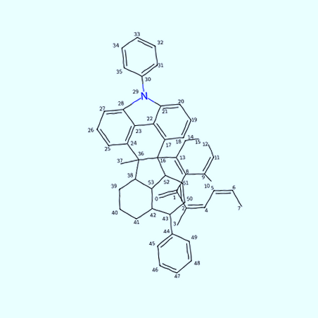 C=C(/C(C)=C\C=C/C)C(/C(C)=C\C)=C(/CC)C12c3cccc4c3c3c(cccc3n4-c3ccccc3)C1(C)C1CCCC3C(c4ccccc4)C=CC2C31